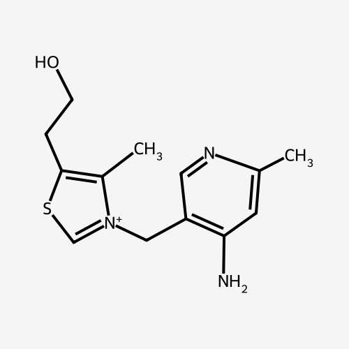 Cc1cc(N)c(C[n+]2csc(CCO)c2C)cn1